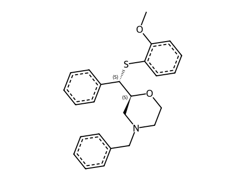 COc1ccccc1S[C@@H](c1ccccc1)[C@@H]1CN(Cc2ccccc2)CCO1